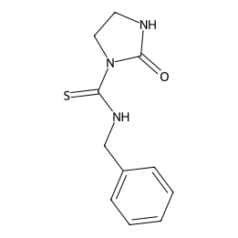 O=C1NCCN1C(=S)NCc1ccccc1